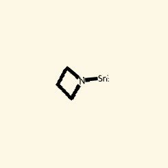 [Sn][N]1CCC1